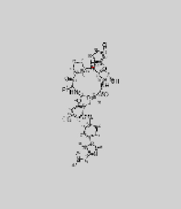 CC(C)C1NC(=O)N(Cc2ccc(Cl)cc2Oc2ccc(-c3cnc(CN(C)C)n3C)cc2)[C@@H](C)C(=O)N[C@@H](CO)C(=O)N[C@@]2(Cc3ccc(Cl)cc3)CCCN(C2)C1=O